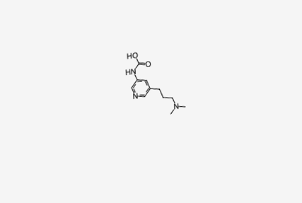 CN(C)CCCc1cncc(NC(=O)O)c1